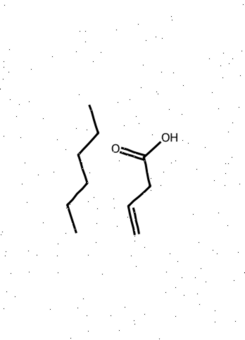 C=CCC(=O)O.CCCCCC